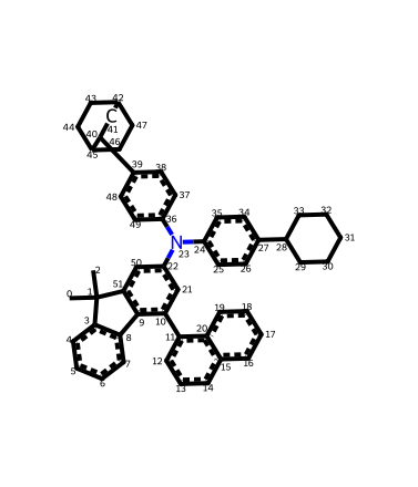 CC1(C)c2ccccc2-c2c(-c3cccc4ccccc34)cc(N(c3ccc(C4CCCCC4)cc3)c3ccc(C4CC5CCC4CC5)cc3)cc21